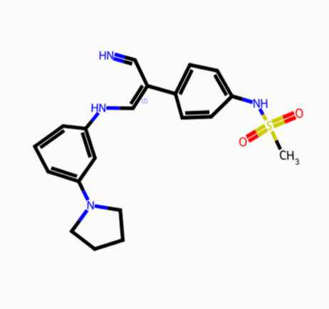 CS(=O)(=O)Nc1ccc(/C(C=N)=C/Nc2cccc(N3CCCC3)c2)cc1